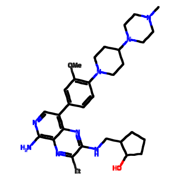 CCc1nc2c(N)ncc(-c3ccc(N4CCC(N5CCN(C)CC5)CC4)c(OC)c3)c2nc1NCC1CCCC1O